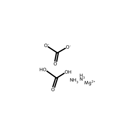 N.N.O=C(O)O.O=C([O-])[O-].[Mg+2]